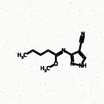 CCCC/C(=N/c1n[nH]cc1C#N)OC